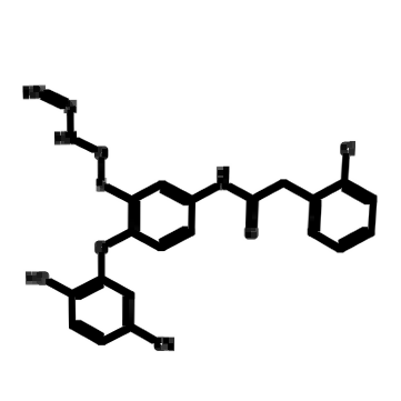 N#Cc1ccc(O)c(Oc2ccc(NC(=O)Cc3ccccc3Cl)cc2SONN=N)c1